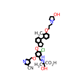 Cc1c(OCCCN2CC[C@@H](O)C2)cccc1-c1cccc2c1CCC2Oc1cc(OCc2cncc(C#N)c2)c(CN[C@](C)(CO)C(=O)O)cc1Cl